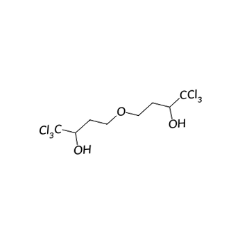 OC(CCOCCC(O)C(Cl)(Cl)Cl)C(Cl)(Cl)Cl